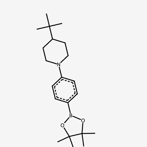 CC(C)(C)C1CCN(c2ccc(B3OC(C)(C)C(C)(C)O3)cc2)CC1